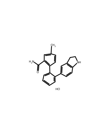 Cc1ccc(-c2ccccc2-c2ccc3c(c2)CCN3)c(C(N)=O)c1.Cl